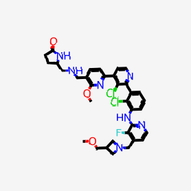 COCC1CN(Cc2ccnc(Nc3cccc(-c4nccc(-c5ccc(CNCC6CCC(=O)N6)c(OC)n5)c4Cl)c3Cl)c2F)C1